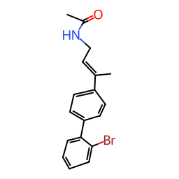 CC(=O)NCC=C(C)c1ccc(-c2ccccc2Br)cc1